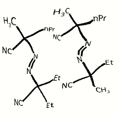 CCCC(C)(C#N)/N=N/C(C#N)(CC)CC.CCCC(C)(C#N)/N=N/C(C)(C#N)CC